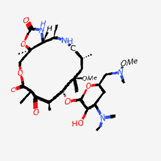 CON(C)CC1CC(N(C)C)C(O)C(O[C@@H]2[C@@H](C)C(=O)C(C)C(=O)OC[C@@]3(C)OC(=O)N[C@@H]3[C@@H](C)NC[C@H](C)C[C@@]2(C)OC)O1